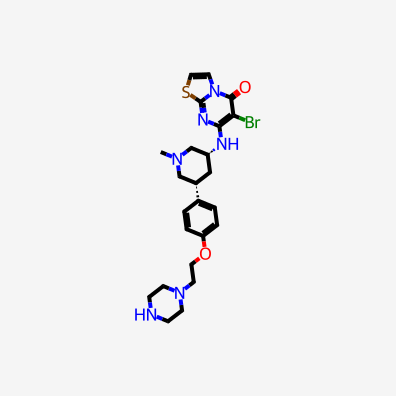 CN1C[C@H](Nc2nc3sccn3c(=O)c2Br)C[C@H](c2ccc(OCCN3CCNCC3)cc2)C1